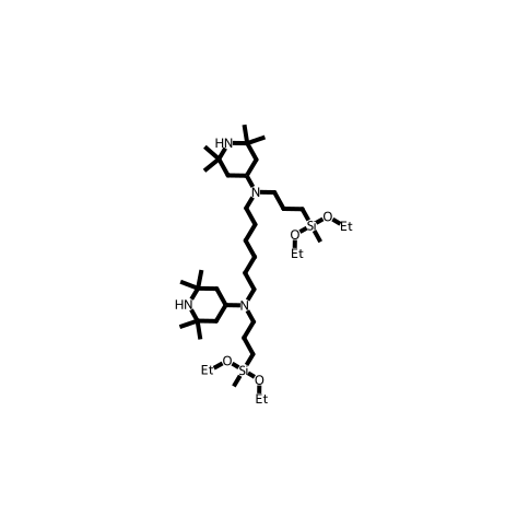 CCO[Si](C)(CCCN(CCCCCCN(CCC[Si](C)(OCC)OCC)C1CC(C)(C)NC(C)(C)C1)C1CC(C)(C)NC(C)(C)C1)OCC